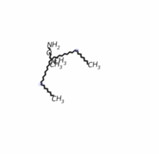 CCCCCCCC/C=C\CCCCCCCCC(CCCCCCCC/C=C\CCCCCCCC)(CCOCCN)N(C)C